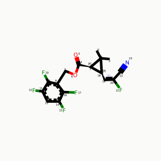 CC1(C)[C@H](C(=O)OCc2c(F)c(F)cc(F)c2F)[C@@H]1/C=C(/F)C#N